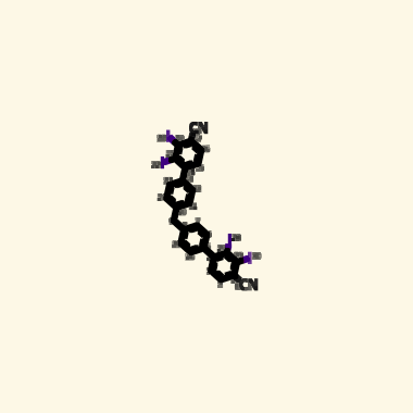 N#Cc1ccc(-c2ccc(Cc3ccc(-c4ccc(C#N)c(I)c4I)cc3)cc2)c(I)c1I